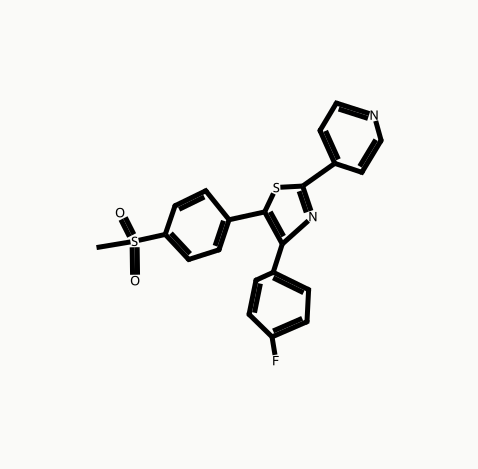 CS(=O)(=O)c1ccc(-c2sc(-c3ccncc3)nc2-c2ccc(F)cc2)cc1